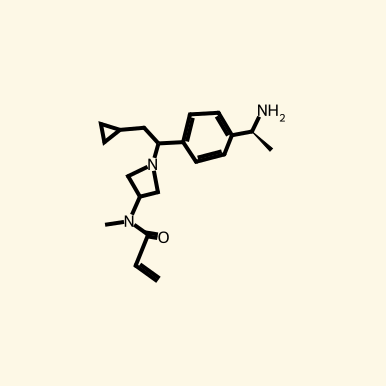 C=CC(=O)N(C)C1CN(C(CC2CC2)c2ccc([C@H](C)N)cc2)C1